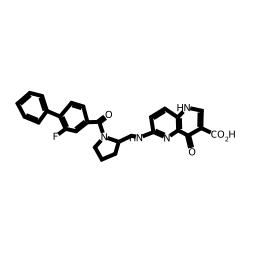 O=C(O)c1c[nH]c2ccc(NCC3CCCN3C(=O)c3ccc(-c4ccccc4)c(F)c3)nc2c1=O